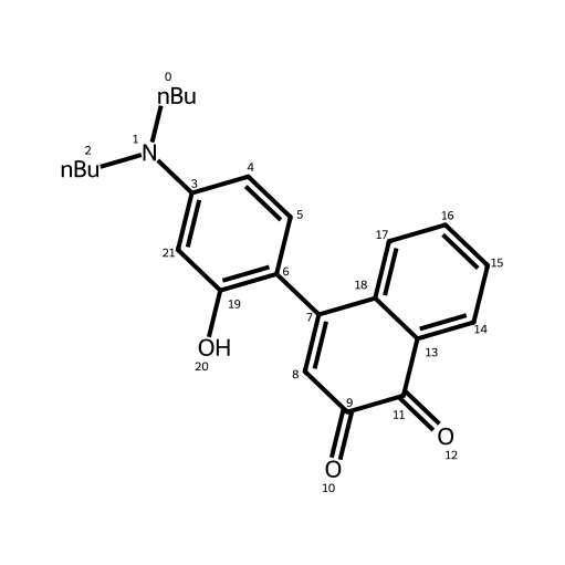 CCCCN(CCCC)c1ccc(C2=CC(=O)C(=O)c3ccccc32)c(O)c1